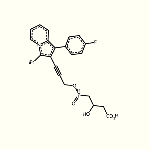 CC(C)c1c(C#CCO[PH](=O)CC(O)CC(=O)O)c(-c2ccc(F)cc2)c2ccccn12